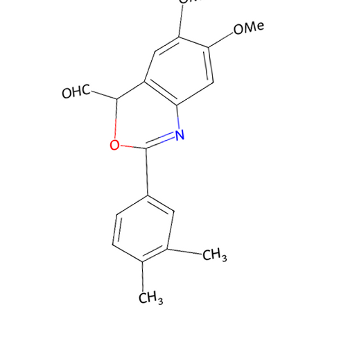 COc1cc2c(cc1OC)C(C=O)OC(c1ccc(C)c(C)c1)=N2